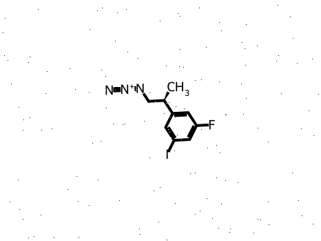 C[C@H](CN=[N+]=[N-])c1cc(F)cc(I)c1